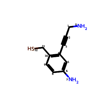 NCC#Cc1cc(N)ccc1CS